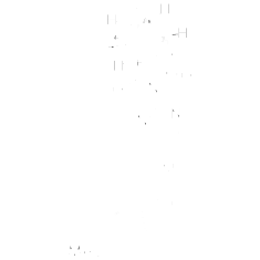 COc1ccc(C(=O)COc2cnc(N3C(=O)[C@@H]4[C@@H]5C=C[C@@H]([C@H]6C[C@@H]56)[C@@H]4C3=O)nc2)cc1